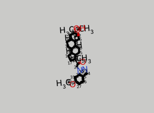 COCC[C@]12CC[C@@](C)(O)C[C@@H]1CC[C@H]1[C@@H]3CC[C@H](C(=O)Cn4ncc5ccc(OC)cc54)[C@@]3(C)CC[C@@H]12